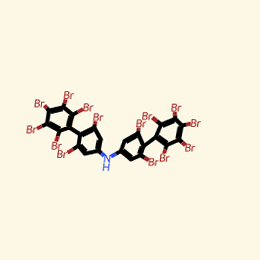 Brc1cc(Nc2cc(Br)c(-c3c(Br)c(Br)c(Br)c(Br)c3Br)c(Br)c2)cc(Br)c1-c1c(Br)c(Br)c(Br)c(Br)c1Br